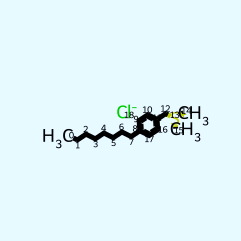 CCCCCCCCc1ccc(C[S+](C)C)cc1.[Cl-]